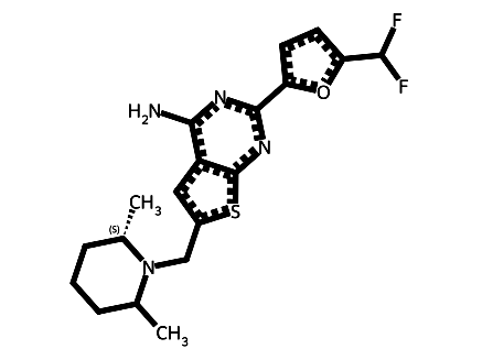 CC1CCC[C@H](C)N1Cc1cc2c(N)nc(-c3ccc(C(F)F)o3)nc2s1